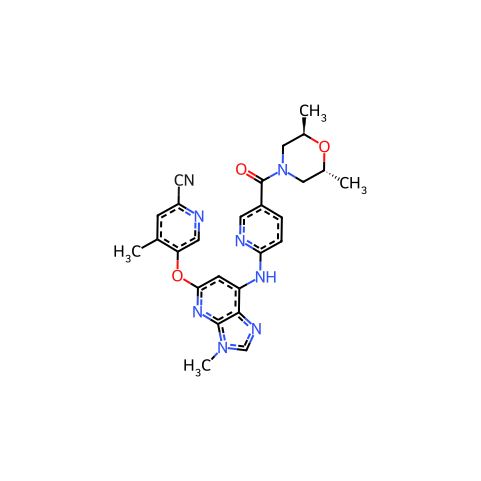 Cc1cc(C#N)ncc1Oc1cc(Nc2ccc(C(=O)N3C[C@@H](C)O[C@H](C)C3)cn2)c2ncn(C)c2n1